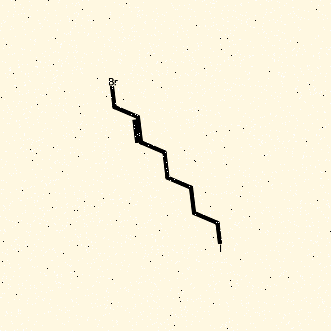 BrCC=CCCCCCI